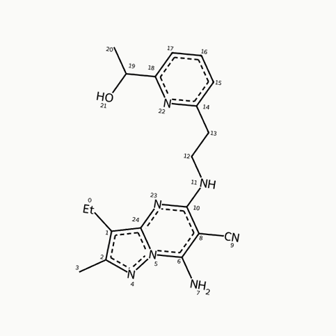 CCc1c(C)nn2c(N)c(C#N)c(NCCc3cccc(C(C)O)n3)nc12